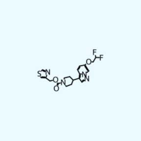 O=C(OCc1cscn1)N1CCC(c2cnn3cc(OCC(F)F)ccc23)CC1